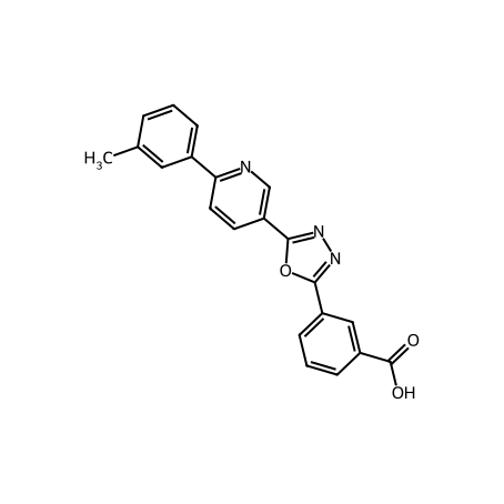 Cc1cccc(-c2ccc(-c3nnc(-c4cccc(C(=O)O)c4)o3)cn2)c1